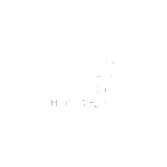 C.C.[AsH3].[SbH3].[SbH3].[SiH4]